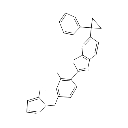 Cl.O=C(O)c1ccnn1Cc1ccc(-c2nc3ccc(C4(c5ccccc5)CC4)nc3s2)c(F)c1